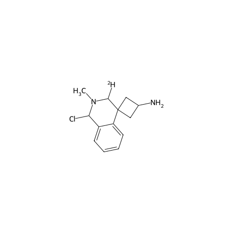 [2H]C1N(C)C(Cl)c2ccccc2C12CC(N)C2